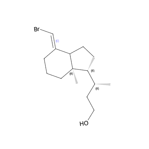 C[C@H](CCO)[C@H]1CCC2/C(=C/Br)CCC[C@@]21C